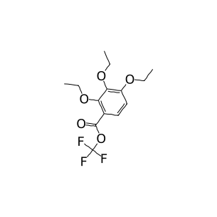 CCOc1ccc(C(=O)OC(F)(F)F)c(OCC)c1OCC